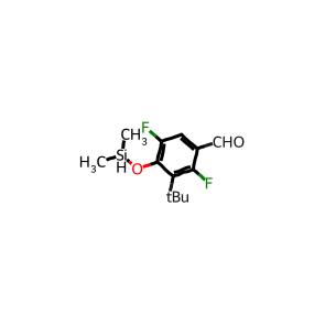 C[SiH](C)Oc1c(F)cc(C=O)c(F)c1C(C)(C)C